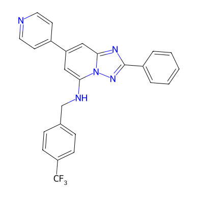 FC(F)(F)c1ccc(CNc2cc(-c3ccncc3)cc3nc(-c4ccccc4)nn23)cc1